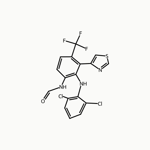 O=CNc1ccc(C(F)(F)F)c(-c2cscn2)c1Nc1c(Cl)cccc1Cl